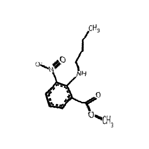 CCCCNc1c(C(=O)OC)cccc1[N+](=O)[O-]